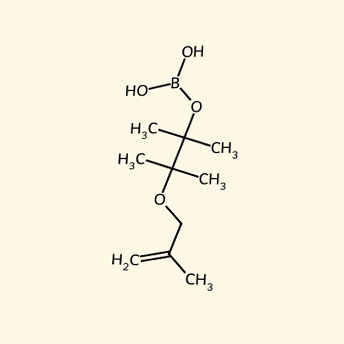 C=C(C)COC(C)(C)C(C)(C)OB(O)O